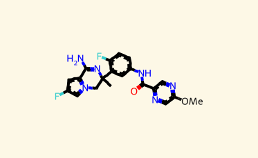 COc1cnc(C(=O)Nc2ccc(F)c(C3(C)Cn4cc(F)cc4C(N)=N3)c2)cn1